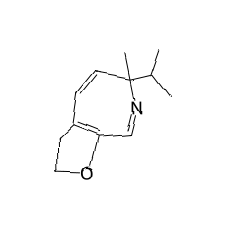 CC(C)C1(C)C=CC2=C(C=N1)OCC2